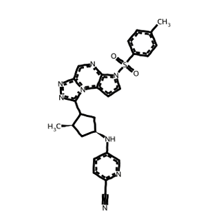 Cc1ccc(S(=O)(=O)n2ccc3c2ncc2nnc(C4C[C@@H](Nc5ccc(C#N)nc5)C[C@H]4C)n23)cc1